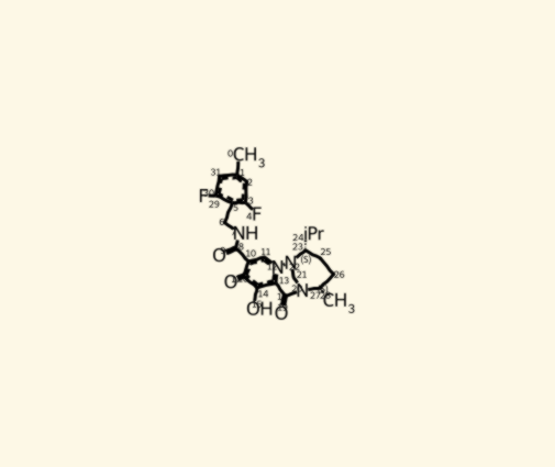 Cc1cc(F)c(CNC(=O)c2cn3c(c(O)c2=O)C(=O)N2CN3[C@H](C(C)C)CC[C@@H]2C)c(F)c1